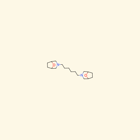 C(CCCN1CC2CCC(C1)O2)CCN1CC2CCC(C1)O2